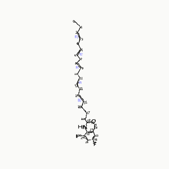 CC/C=C/C/C=C/C/C=C/C/C=C/C/C=C/CCCC(=O)Nc1c(F)cc(F)cc1F